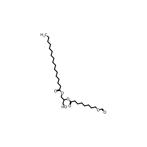 CCCCCCCCCCCCCCCCC(=O)OCC(CO)OC(=O)CCCCCCCOC=O